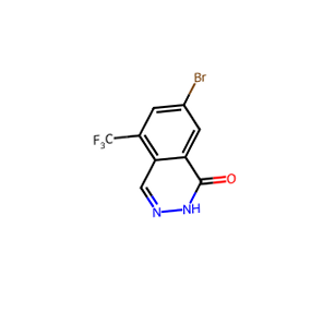 O=c1[nH]ncc2c(C(F)(F)F)cc(Br)cc12